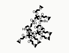 CCCCC(=O)OCC(COC(=O)CCN1CC1)(COC(=O)CCN1CC1)COC(=O)NCCN(CCNC(=O)OCC(COC(=O)CCN1CC1)(COC(=O)CCN1CC1)COC(=O)CCN1CC1)CCNC(=O)OCC(COC(=O)CCN1CC1)(COC(=O)CCN1CC1)COC(=O)CCN1CC1